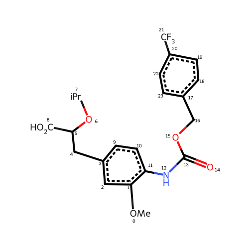 COc1cc(CC(OC(C)C)C(=O)O)ccc1NC(=O)OCc1ccc(C(F)(F)F)cc1